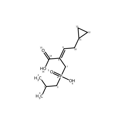 CC(C)CP(=O)(O)CC(=CCC1CC1)C(=O)O